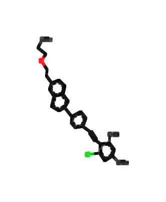 COCCOCCc1ccc2cc(-c3ccc(C#Cc4c(Cl)cc(OC)cc4C=O)cc3)ccc2c1